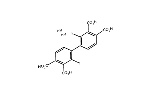 O=C(O)c1ccc(-c2ccc(C(=O)O)c(C(=O)O)c2I)c(I)c1C(=O)O.[HH].[HH]